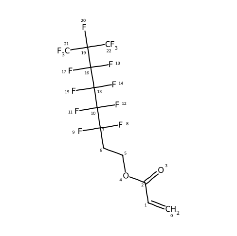 C=CC(=O)OCCC(F)(F)C(F)(F)C(F)(F)C(F)(F)C(F)(C(F)(F)F)C(F)(F)F